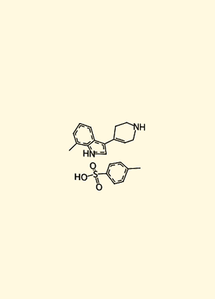 Cc1ccc(S(=O)(=O)O)cc1.Cc1cccc2c(C3=CCNCC3)c[nH]c12